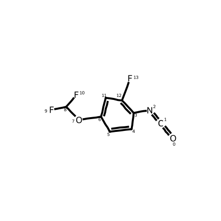 O=C=Nc1ccc(OC(F)F)cc1F